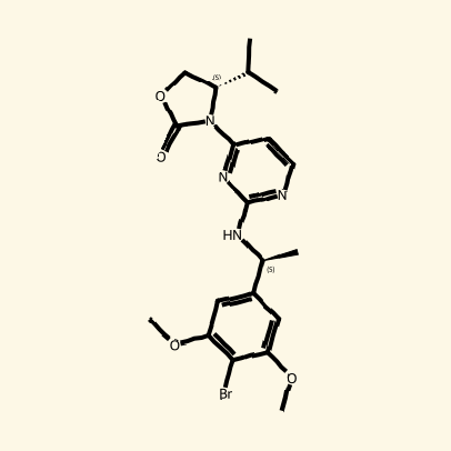 COc1cc([C@H](C)Nc2nccc(N3C(=O)OC[C@@H]3C(C)C)n2)cc(OC)c1Br